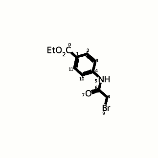 CCOC(=O)c1ccc(NC(=O)CBr)cc1